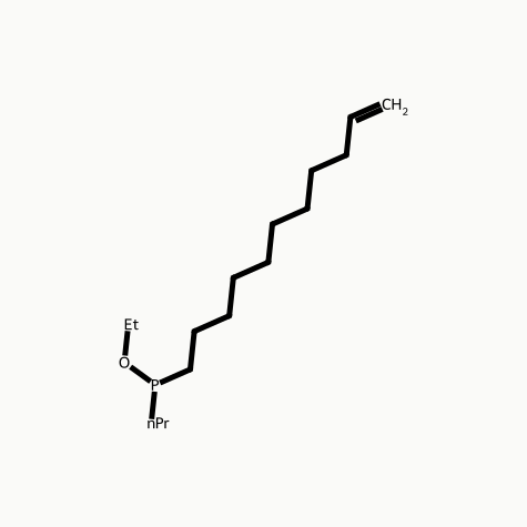 C=CCCCCCCCCCP(CCC)OCC